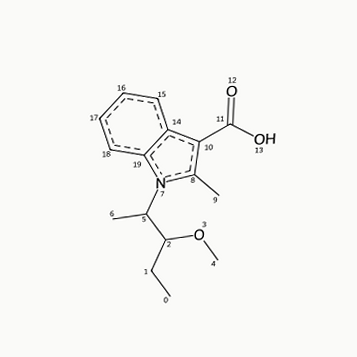 CCC(OC)C(C)n1c(C)c(C(=O)O)c2ccccc21